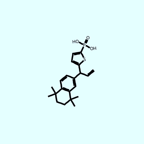 C=CC(c1ccc2c(c1)C(C)(C)CCC2(C)C)c1ccc(P(=O)(O)O)s1